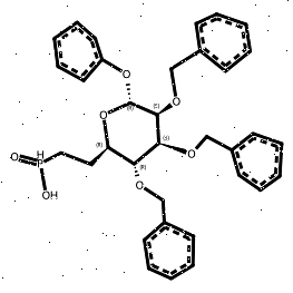 O=[PH](O)CC[C@H]1O[C@H](Oc2ccccc2)[C@@H](OCc2ccccc2)[C@@H](OCc2ccccc2)[C@@H]1OCc1ccccc1